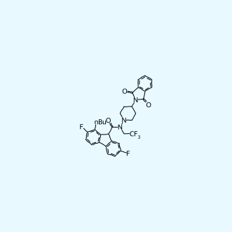 CCCCc1c(F)ccc2c1C(C(=O)N(CC(F)(F)F)N1CCC(N3C(=O)c4ccccc4C3=O)CC1)c1cc(F)ccc1-2